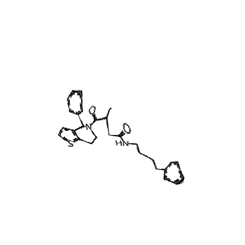 CC(CC(=O)NCCCCc1ccccc1)C(=O)N1CCc2sccc2C1c1ccccc1